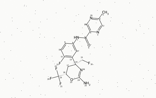 Cc1cnc(C(=O)Nc2ccc(F)c([C@]3(CF)C[C@@H](C(F)(F)F)OC(N)=N3)c2)cn1